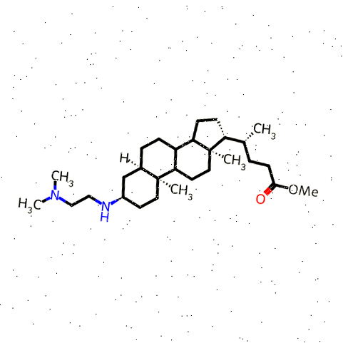 COC(=O)CC[C@@H](C)[C@H]1CCC2C3CC[C@@H]4C[C@H](NCCN(C)C)CC[C@]4(C)C3CC[C@@]21C